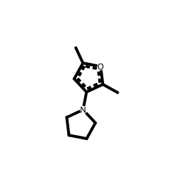 Cc1cc(N2CCCC2)c(C)o1